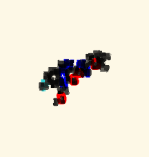 COCCn1c(=O)c2c(-c3nc(C4CCC(C)(C)O4)no3)ncn2c2ccc(F)cc21